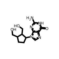 Nc1nc2c(ncn2C2CCC(CO)C2CO)c(=O)[nH]1